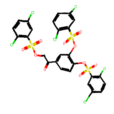 O=C(COS(=O)(=O)c1cc(Cl)ccc1Cl)c1ccc(OS(=O)(=O)c2cc(Cl)ccc2Cl)c(OS(=O)(=O)c2cc(Cl)ccc2Cl)c1